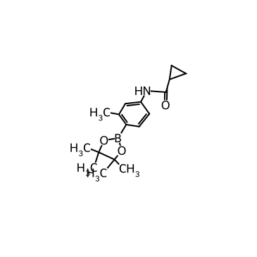 Cc1cc(NC(=O)C2CC2)ccc1B1OC(C)(C)C(C)(C)O1